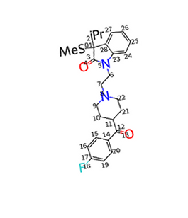 CSC1(C(C)C)C(=O)N(CCN2CCC(C(=O)c3ccc(F)cc3)CC2)c2ccccc21